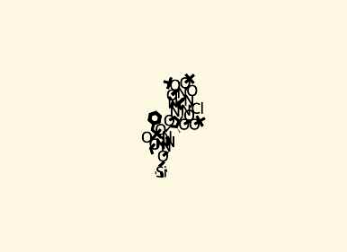 CCOC(=O)C(Cc1ccccc1)(OC[C@H]1O[C@@H](n2cnc3c(N(C(=O)OC(C)(C)C)C(=O)OC(C)(C)C)nc(Cl)nc32)[C@](C)(OC(=O)OC(C)(C)C)[C@@H]1C)c1nnn(COCC[Si](C)(C)C)n1